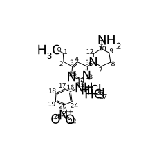 CCCc1cc(N2CCCC(N)C2)nc(Nc2cccc([N+](=O)[O-])c2)n1.Cl.Cl